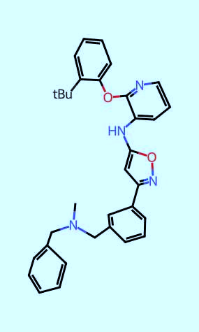 CN(Cc1ccccc1)Cc1cccc(-c2cc(Nc3cccnc3Oc3ccccc3C(C)(C)C)on2)c1